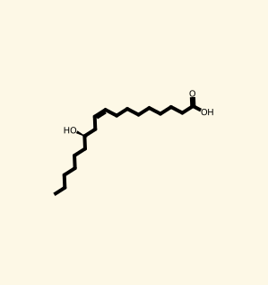 CCCCCC[C@@H](O)C/C=C\CCCCCCCC(=O)O